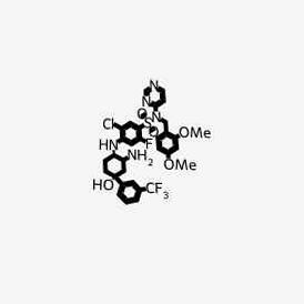 COc1ccc(CN(c2ccncn2)S(=O)(=O)c2cc(Cl)c(N[C@@H]3CC[C@](O)(c4cccc(C(F)(F)F)c4)CC3N)cc2F)c(OC)c1